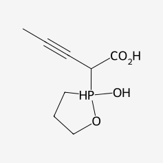 CC#CC(C(=O)O)[PH]1(O)CCCO1